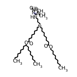 CCCCCCCCCOC(=O)CCCCCCCN(CCCCCCCC(=O)OC(CCCCCCCC)CCCCCCCC)CCCN/C(=N/[N+](=O)[O-])N(C)C